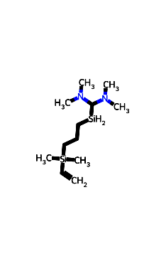 C=C[Si](C)(C)CCC[SiH2]C(N(C)C)N(C)C